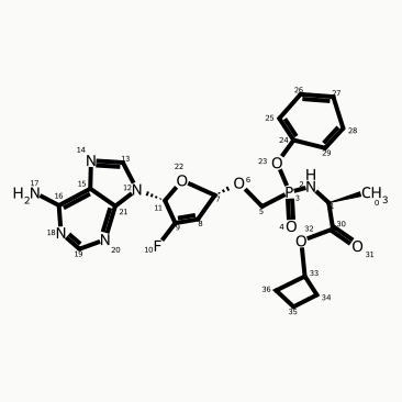 C[C@H](NP(=O)(CO[C@@H]1C=C(F)[C@H](n2cnc3c(N)ncnc32)O1)Oc1ccccc1)C(=O)OC1CCC1